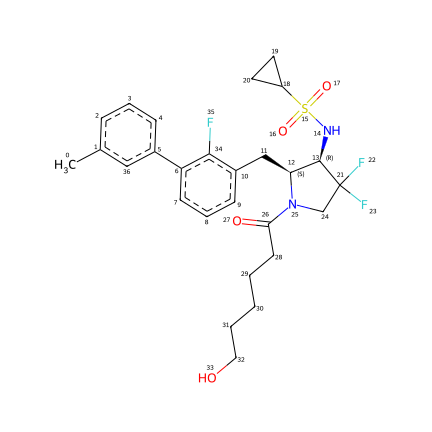 Cc1cccc(-c2cccc(C[C@H]3[C@@H](NS(=O)(=O)C4CC4)C(F)(F)CN3C(=O)CCCCCO)c2F)c1